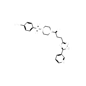 CC(C)(C)c1ccc(S(=O)(=O)N2CCN(C(=O)CCc3n[nH]c(-c4cccnc4)n3)CC2)cc1